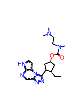 CC[C@@H]1C[C@H](OC(=O)N(C)CCN(C)C)CC1c1nnc2cnc3[nH]ccc3n12